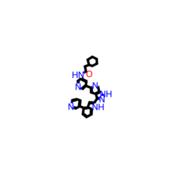 O=C(CC1CCCCC1)Nc1cncc(-c2cc3c(-c4cc5c(-c6cccnc6)cccc5[nH]4)n[nH]c3cn2)c1